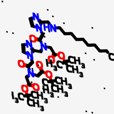 CCCCCCCCCCNCc1nccn1CC(=O)N(CC(=O)OC(C)(C)C)Cc1nccn1CC(=O)N(CC(=O)OC(C)(C)C)CC(=O)OC(C)(C)C